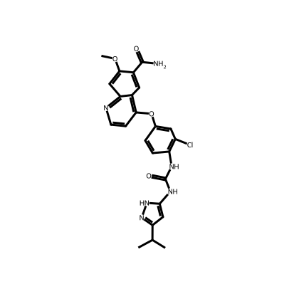 COc1cc2nccc(Oc3ccc(NC(=O)Nc4cc(C(C)C)n[nH]4)c(Cl)c3)c2cc1C(N)=O